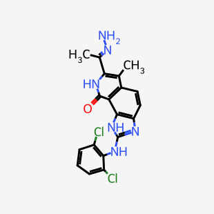 CC(=NN)c1[nH]c(=O)c2c(ccc3nc(Nc4c(Cl)cccc4Cl)[nH]c32)c1C